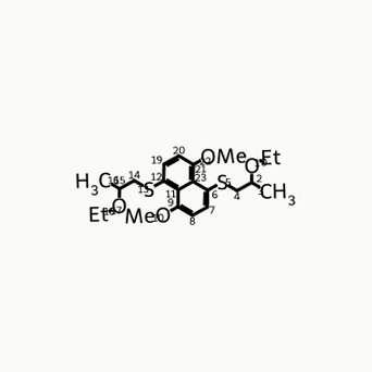 CCOC(C)CSc1ccc(OC)c2c(SCC(C)OCC)ccc(OC)c12